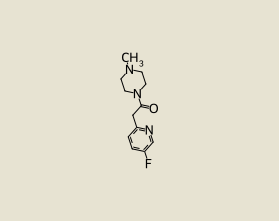 CN1CCN(C(=O)Cc2ccc(F)cn2)CC1